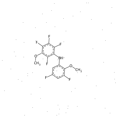 COc1c(F)cc(F)cc1Bc1c(F)c(F)c(F)c(OC)c1F